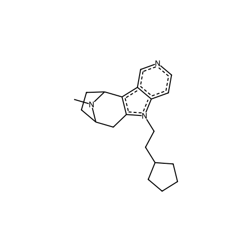 CN1C2CCC1c1c(n(CCC3CCCC3)c3ccncc13)C2